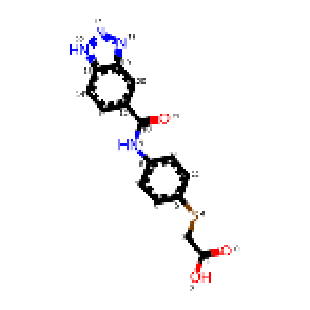 O=C(O)CSc1ccc(NC(=O)c2ccc3[nH]nnc3c2)cc1